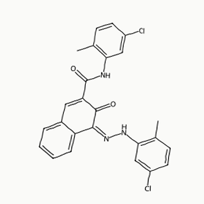 Cc1ccc(Cl)cc1N/N=C1\C(=O)C(C(=O)Nc2cc(Cl)ccc2C)=Cc2ccccc21